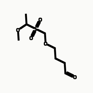 COC(C)S(=O)(=O)COCCCC=O